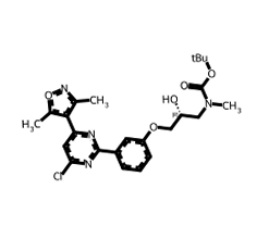 Cc1noc(C)c1-c1cc(Cl)nc(-c2cccc(OC[C@H](O)CN(C)C(=O)OC(C)(C)C)c2)n1